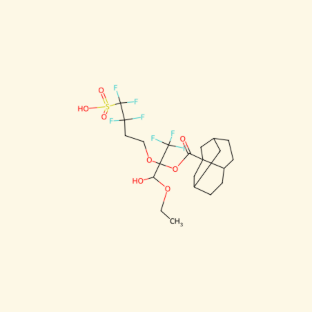 CCOC(O)C(OCCC(F)(F)C(F)(F)S(=O)(=O)O)(OC(=O)C12CC3CCC1CCC(C3)C2)C(F)(F)F